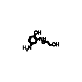 Nc1ccc(O)c(NOCCO)c1